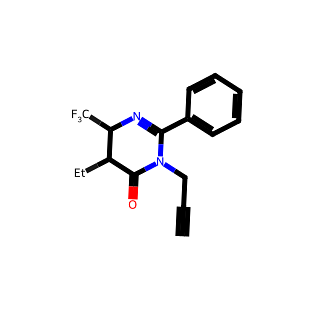 C#CCN1C(=O)C(CC)C(C(F)(F)F)N=C1c1ccccc1